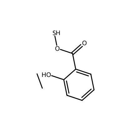 CC.O=C(OS)c1ccccc1O